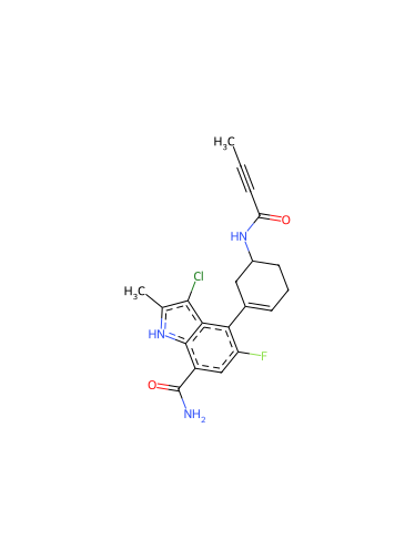 CC#CC(=O)NC1CCC=C(c2c(F)cc(C(N)=O)c3[nH]c(C)c(Cl)c23)C1